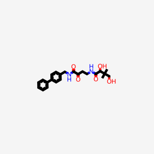 CC(C)(CO)C(O)C(=O)NCCC(=O)C(=O)NCc1ccc(-c2ccccc2)cc1